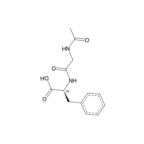 CC(=O)NCC(=O)N[C@@H](Cc1ccccc1)C(=O)O